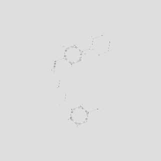 CCC(=NOCCOc1cccc(CC(=O)O)c1)c1ccc(N2CCCCC2)cc1